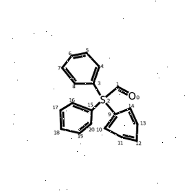 O=CS(c1ccccc1)(c1ccccc1)c1ccccc1